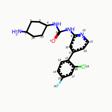 NC1CCC(NC(=O)Nc2cc(-c3ccc(F)cc3Cl)ccn2)CC1